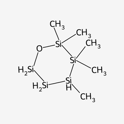 C[SiH]1[SiH2][SiH2]O[Si](C)(C)[Si]1(C)C